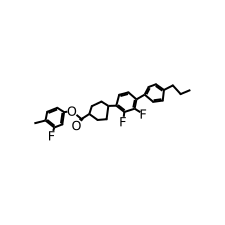 CCCc1ccc(-c2ccc(C3CCC(C(=O)Oc4ccc(C)c(F)c4)CC3)c(F)c2F)cc1